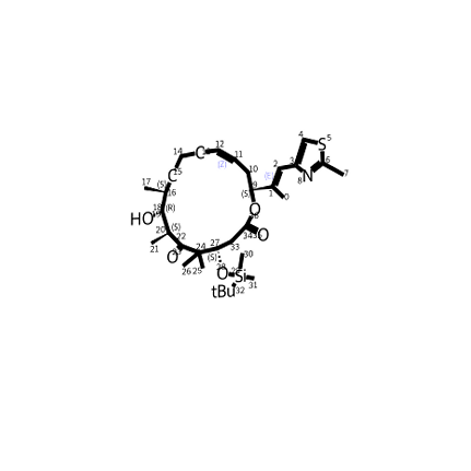 C/C(=C\c1csc(C)n1)[C@@H]1C/C=C\CCC[C@H](C)[C@@H](O)[C@H](C)C(=O)C(C)(C)[C@@H](O[Si](C)(C)C(C)(C)C)CC(=O)O1